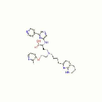 Cc1ncccc1OCCN(CCCCc1ccc2c(n1)NCCC2)CC[C@H](Nc1cncc(-c2ccncc2)n1)C(=O)O